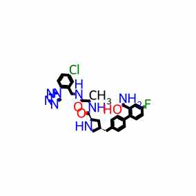 C[C@H](NC(=O)[C@H]1C[C@H](Cc2ccc(-c3ccc(F)cc3C(N)O)cc2)CN1)C(=O)NCc1cc(Cl)ccc1-n1cnnn1